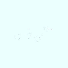 CC(=O)/C(=C/C(=N)c1ncc(F)c(N2CCn3c(n[nH]c3=O)C2)n1)NCc1ccccc1F